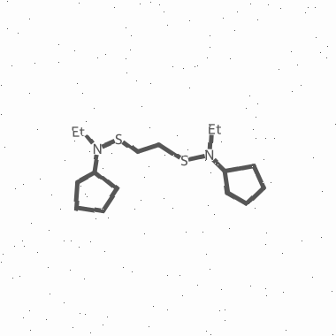 CCN(SCCSN(CC)C1CCCC1)C1CCCC1